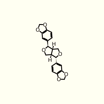 c1cc2c(cc1[C@H]1OC[C@@H]3[C@H]1CO[C@H]3c1ccc3c(c1)OCO3)OCO2